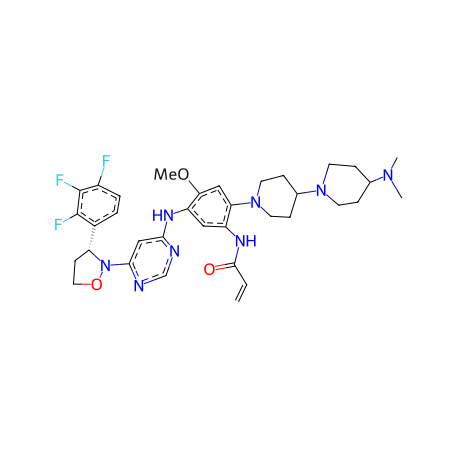 C=CC(=O)Nc1cc(Nc2cc(N3OCC[C@@H]3c3ccc(F)c(F)c3F)ncn2)c(OC)cc1N1CCC(N2CCC(N(C)C)CC2)CC1